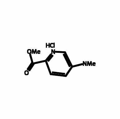 CNc1ccc(C(=O)OC)nc1.Cl